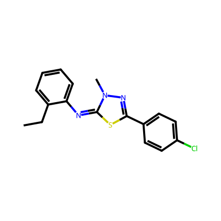 CCc1ccccc1/N=c1/sc(-c2ccc(Cl)cc2)nn1C